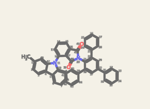 Cc1ccc2c3ccccc3n(-c3cccc4c3C(=O)N(c3c(-c5ccccc5)cc(-c5ccccc5)cc3-c3ccccc3)C4=O)c2c1